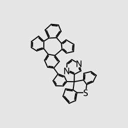 c1cc(-c2ccc3c(c2)-c2ccccc2-c2ccccc2-c2ccccc2-3)cc(C2(c3cnccn3)c3ccccc3Sc3ccccc32)c1